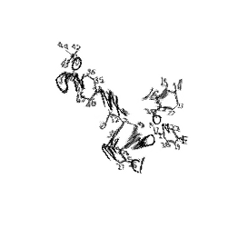 Cc1c(-c2cc(OC(COCc3ccccc3)c3ccc(F)cn3)c3c(Cl)cnn3c2)nnn1C1CCN(C(=O)OC(C)(C)C)CC1